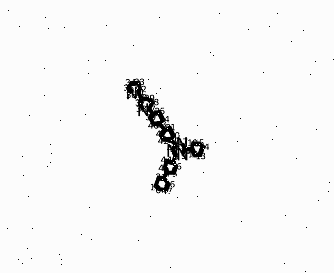 c1ccc(-c2ccc(-c3nc(-c4ccccc4)nc(-c4ccc(-c5ccc(-c6ccc(-c7ccccn7)cn6)cc5)cc4)n3)cc2)cc1